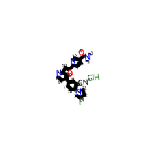 CN(C)C(=O)c1ccc(-c2cc3nccc(-c4ccc(N5CCC(F)C5)c(C#N)c4)c3o2)nc1.Cl